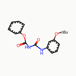 CCCCOc1cccc(NC(=O)NC(=O)Oc2ccccc2)c1